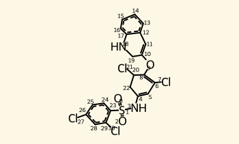 O=S(=O)(NC1=CC(Cl)=C(OC2=Cc3ccccc3NC2)C(Cl)C1)c1ccc(Cl)cc1Cl